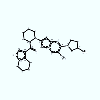 Cc1cn2nc([C@@H]3CCCCN3C(=O)c3csc4c3CCCC4)cc2nc1N1CCC(N)C1